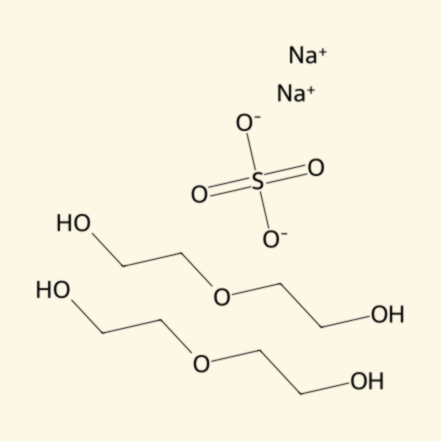 O=S(=O)([O-])[O-].OCCOCCO.OCCOCCO.[Na+].[Na+]